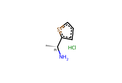 C[C@@H](N)c1cccs1.Cl